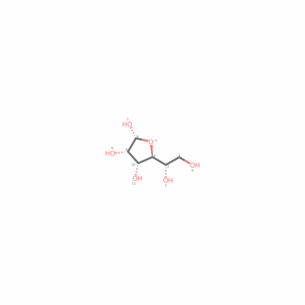 OC[C@H](O)[C@@H]1O[C@@H](O)[C@@H](O)[C@H]1O